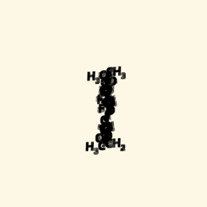 C=C(C)C(=O)Oc1ccc(OCCOc2ccc(-c3ccc(OC(=O)C(C)C)cc3)c(F)c2F)cc1